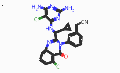 N#CCc1cccc(-n2c(C(Nc3nc(N)nc(N)c3Cl)C3CC3)nc3cccc(Cl)c3c2=O)c1